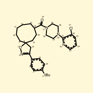 CC(C)(C)c1ccc(C2=NOC3(CCCCCC(C(=O)N4CCN(c5ncccc5Cl)CC4)CC3)C2)cc1